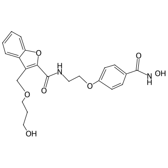 O=C(NO)c1ccc(OCCNC(=O)c2oc3ccccc3c2COCCCO)cc1